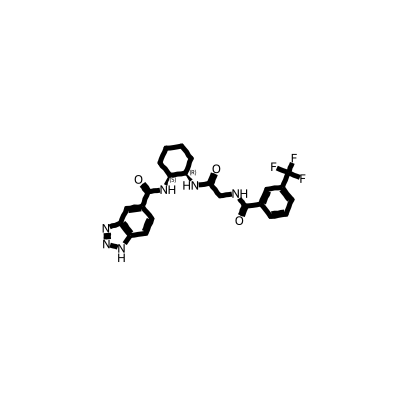 O=C(CNC(=O)c1cccc(C(F)(F)F)c1)N[C@@H]1CCCC[C@@H]1NC(=O)c1ccc2[nH]nnc2c1